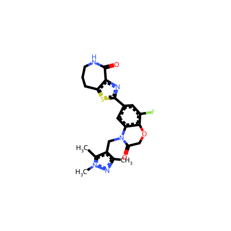 Cc1nn(C)c(C)c1CN1C(=O)COc2c(F)cc(-c3nc4c(s3)CCCNC4=O)cc21